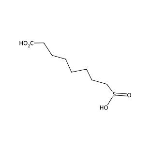 O=C(O)CCCCCCCS(=O)O